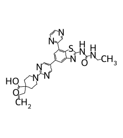 C=CCC1(C(=O)O)CCN(c2ncc(-c3cc(-c4cnccn4)c4sc(NC(=O)NCC)nc4c3)cn2)CC1